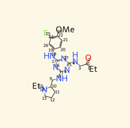 CCC(=O)CNc1nc(NCC2CCCN2CC)nc(Nc2ccc(OC)c(F)c2)n1